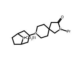 CCOC(=O)N1C2CCC1CC(N1CCC3(CC1)CC(=O)N(C(C)C)C3)C2